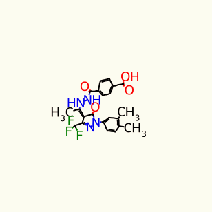 CC(NNC(=O)c1ccc(C(=O)O)cc1)=C1C(=O)N(c2ccc(C)c(C)c2)N=C1C(F)(F)F